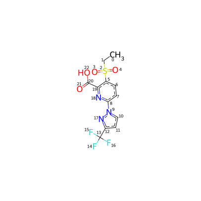 CCS(=O)(=O)c1ccc(-n2ccc(C(F)(F)F)n2)nc1C(=O)O